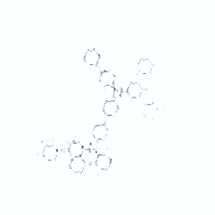 C1=CC(c2cc(-c3ccccc3)cc(N(c3ccc(-c4ccccc4)cc3)c3ccc(-c4ccc(N(c5ccccc5)c5ccc(-c6ccccc6)c6ccccc56)cc4)cc3)c2)=CCC1